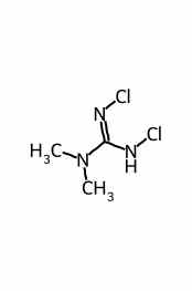 CN(C)C(=NCl)NCl